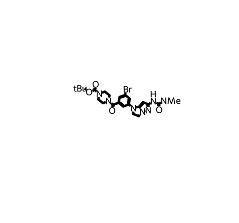 CNC(=O)Nc1cc2n(n1)CCN2c1cc(Br)cc(C(=O)N2CCN(C(=O)OC(C)(C)C)CC2)c1